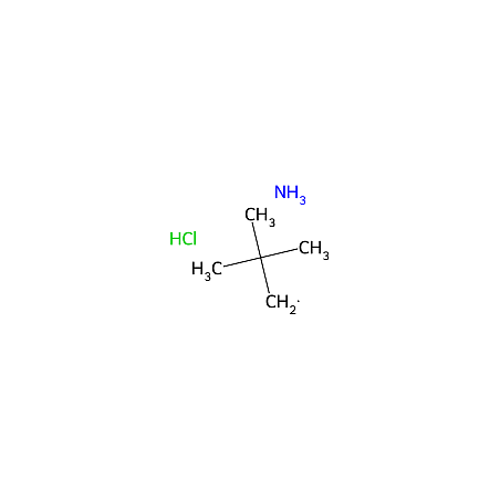 Cl.N.[CH2]C(C)(C)C